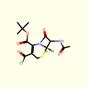 CC(=O)NC1C(=O)N2C(C(=O)OC(C)(C)C)=C(C(=O)Cl)CS[C@@H]12